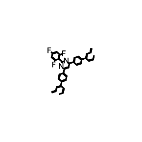 C=C/C=C(\C=C/C)c1ccc(-c2cc(-c3ccc(C(/C=C\C)=C/C=C)cc3)nc(-c3c(F)cc(F)cc3F)n2)cc1